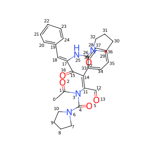 CC(=O)N(C(=O)N1CCCC1)C([C]=O)=C(C(=O)C(=Cc1ccccc1)NC(=O)N1CCCC1)c1ccccc1